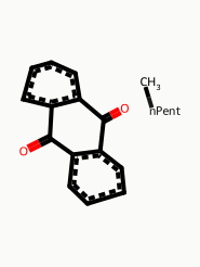 CCCCCC.O=C1c2ccccc2C(=O)c2ccccc21